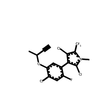 C#CC(C)Oc1cc(-c2c(Cl)c(C(F)(F)F)n(C)c2Cl)c(F)cc1Cl